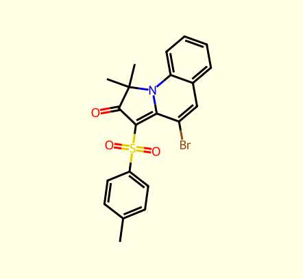 Cc1ccc(S(=O)(=O)C2=C3C(Br)=Cc4ccccc4N3C(C)(C)C2=O)cc1